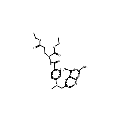 CCOC(=O)CC[C@H](NC(=O)c1ccc(N(C)Cc2cnc3nc(N)nc(N)c3n2)cc1)C(=O)OCC